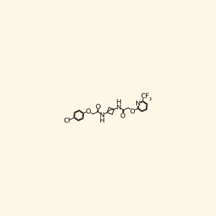 O=C(COc1ccc(Cl)cc1)NC12CC(NC(=O)COc3cccc(C(F)(F)F)n3)(C1)C2